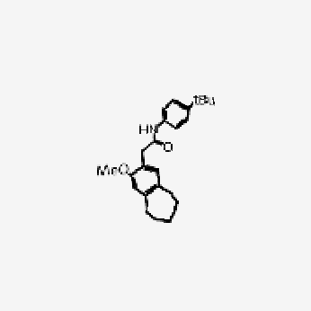 COc1cc2c(cc1CC(=O)Nc1ccc(C(C)(C)C)cc1)CCCCC2